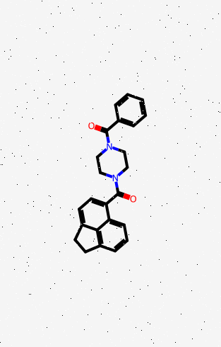 O=C(c1ccccc1)N1CCN(C(=O)c2ccc3c4c(cccc24)CC3)CC1